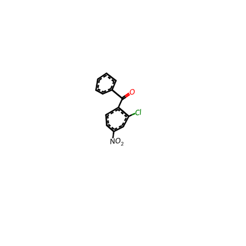 O=C(c1ccccc1)c1ccc([N+](=O)[O-])cc1Cl